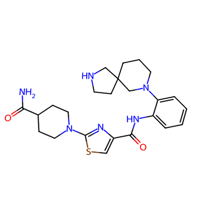 NC(=O)C1CCN(c2nc(C(=O)Nc3ccccc3N3CCCC4(CCNC4)C3)cs2)CC1